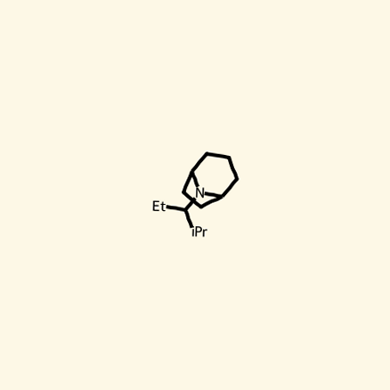 CCC(C(C)C)N1C2CCCC1CC2